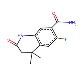 CC1(C)CC(=O)Nc2cc(C(N)=O)c(F)cc21